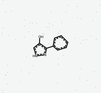 Oc1c[nH]nc1-c1ccccc1